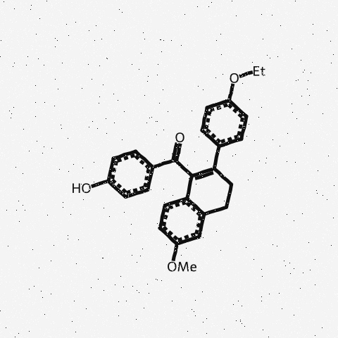 CCOc1ccc(C2=C(C(=O)c3ccc(O)cc3)c3ccc(OC)cc3CC2)cc1